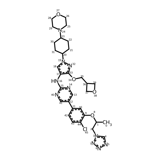 CC(Cn1cnnn1)Oc1cc(-c2cnc(Nc3cn(C4CCC(N5CCOCC5)CC4)nc3OCC3COC3)nc2)ccc1Cl